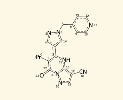 CC(C)c1c(-c2cnn(Cc3ccncc3)c2)[nH]c2c(C#N)cnn2c1=O